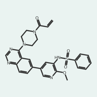 C=CC(=O)N1CCN(c2ncnc3ccc(-c4cnc(OC)c(NS(=O)(=O)c5ccccc5)c4)cc23)CC1